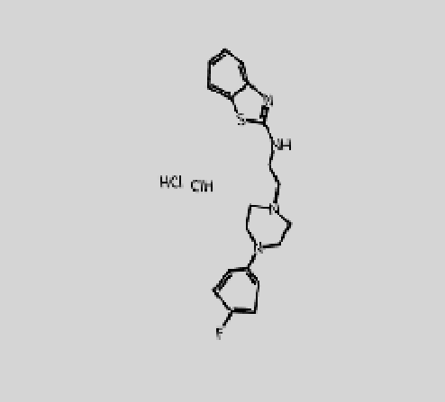 Cl.Cl.Fc1ccc(N2CCN(CCNc3nc4ccccc4s3)CC2)cc1